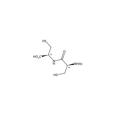 CC(=O)N[C@@H](CS)C(=O)N[C@H](CS)C(=O)O